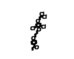 CCC(=O)c1ccc(OCCCCOc2c(Cl)cc(OCC=C(Cl)Cl)cc2Cl)cc1